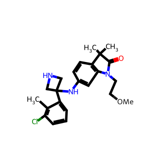 COCCN1C(=O)C(C)(C)c2ccc(NC3(c4cccc(Cl)c4C)CNC3)cc21